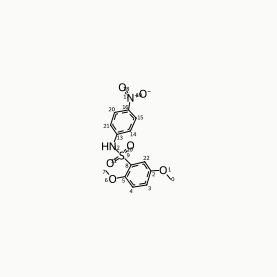 COc1ccc(OC)c(S(=O)(=O)Nc2ccc([N+](=O)[O-])cc2)c1